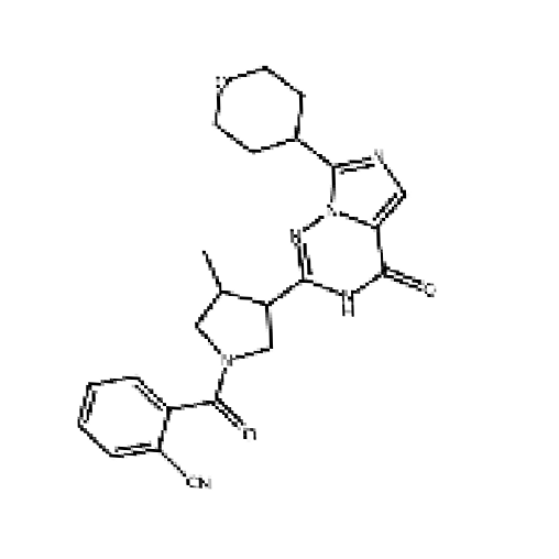 CC1CN(C(=O)c2ccccc2C#N)CC1c1nn2c(C3CCOCC3)ncc2c(=O)[nH]1